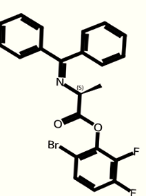 C[C@H](N=C(c1ccccc1)c1ccccc1)C(=O)Oc1c(Br)ccc(F)c1F